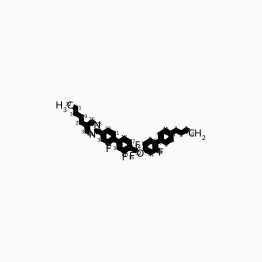 C=CCCc1ccc(-c2ccc(OC(F)(F)c3ccc(-c4ccc(-c5ncc(CCCCC)cn5)cc4F)cc3F)cc2F)cc1